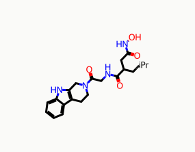 CC(C)CC(CC(=O)NO)C(=O)NCC(=O)N1CCc2c([nH]c3ccccc23)C1